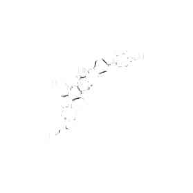 C=CC(=O)N1CCN(c2cc3cnc(Nc4ccc(N5CCN(C)CC5)cc4)nc3n(C)c2=O)CC1